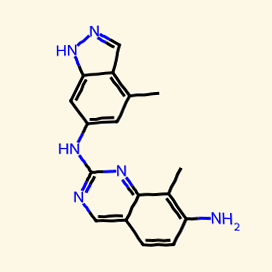 Cc1cc(Nc2ncc3ccc(N)c(C)c3n2)cc2[nH]ncc12